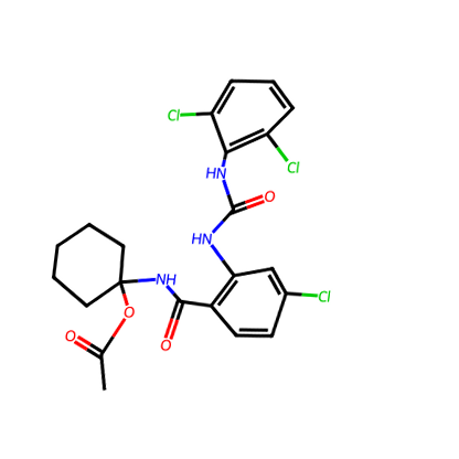 CC(=O)OC1(NC(=O)c2ccc(Cl)cc2NC(=O)Nc2c(Cl)cccc2Cl)CCCCC1